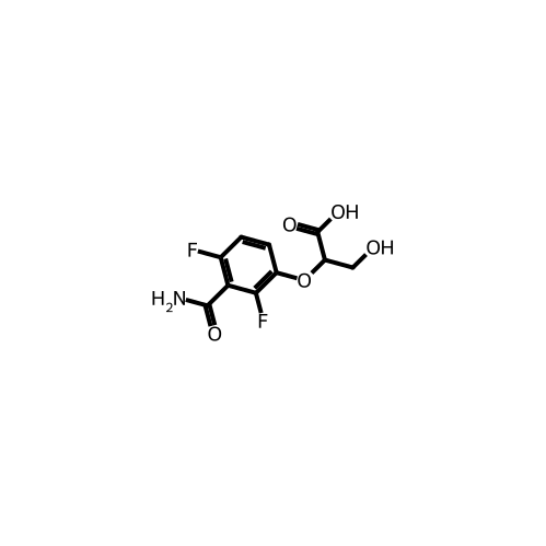 NC(=O)c1c(F)ccc(OC(CO)C(=O)O)c1F